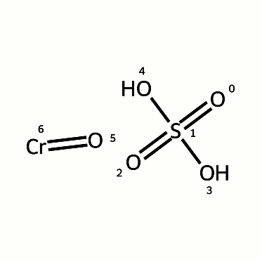 O=S(=O)(O)O.[O]=[Cr]